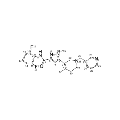 CC1=C(c2cc(C(=O)Nc3c(F)cccc3F)nn2C)CN(Cc2cccnc2)CC1